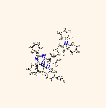 FC(F)(F)c1ccc2c3ccccc3n(-c3ccc(-c4ccc5c(c4)c4ccccc4n5-c4ccccc4)cc3-c3nc(-c4ccccc4)nc(-c4ccccc4)n3)c2c1